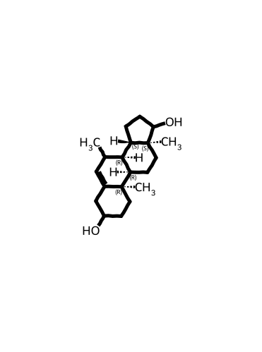 CC1C=C2CC(O)CC[C@]2(C)[C@@H]2CC[C@]3(C)C(O)CC[C@H]3[C@H]12